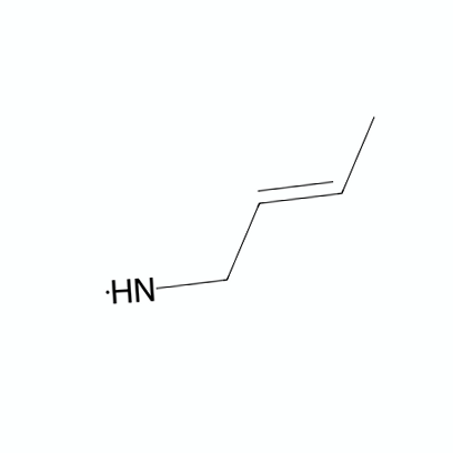 C/C=C/C[NH]